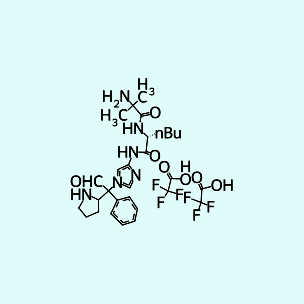 CCCC[C@@H](NC(=O)C(C)(C)N)C(=O)Nc1cn(C(C=O)(c2ccccc2)C2CCCN2)cn1.O=C(O)C(F)(F)F.O=C(O)C(F)(F)F